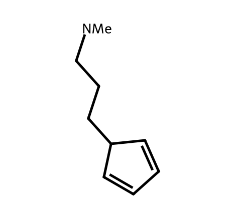 CNCCCC1C=CC=C1